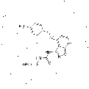 CCCCCCCCCSNC(=O)Nc1noc2cccc(OCc3ccc(C)cc3)c12